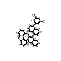 Clc1cc(Cl)cc(-c2ccc(N(c3ccc4ccccc4c3)c3cccc4sc5ccccc5c34)c3ccccc23)c1